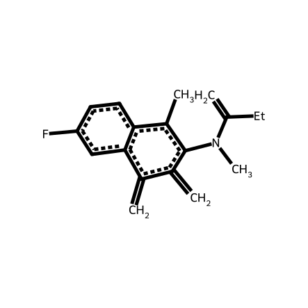 C=C(CC)N(C)c1c(C)c2ccc(F)cc2c(=C)c1=C